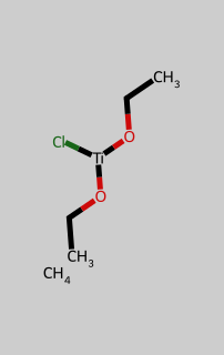 C.CC[O][Ti]([Cl])[O]CC